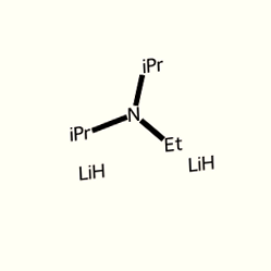 [CH2]CN(C(C)C)C(C)C.[LiH].[LiH]